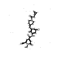 CCn1c(C#N)cc(C(=O)Nc2cc(Cl)cc(C=C3CCN(C(=O)CC4CC4)CC3)c2C)cc1=O